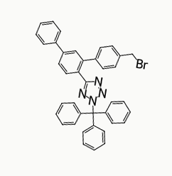 BrCc1ccc(-c2cc(-c3ccccc3)ccc2-c2nnn(C(c3ccccc3)(c3ccccc3)c3ccccc3)n2)cc1